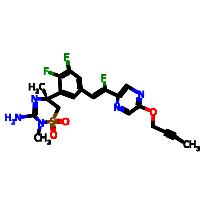 CC#CCOc1cnc(/C(F)=C/c2cc(F)c(F)c([C@]3(C)CS(=O)(=O)N(C)C(N)=N3)c2)cn1